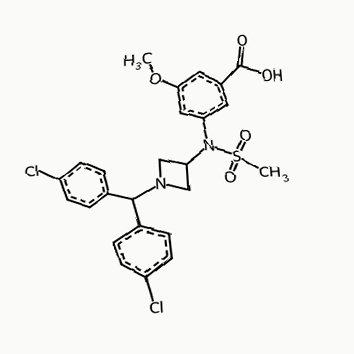 COc1cc(C(=O)O)cc(N(C2CN(C(c3ccc(Cl)cc3)c3ccc(Cl)cc3)C2)S(C)(=O)=O)c1